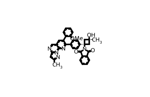 COc1ccccc1-c1cc2cnc3cc(C)nn3c2nc1-c1ccc([C@]2(N3C(=O)c4ccccc4C3=O)C[C@@](C)(O)C2)cc1